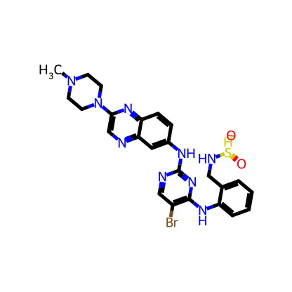 CN1CCN(c2cnc3cc(Nc4ncc(Br)c(Nc5ccccc5CN[SH](=O)=O)n4)ccc3n2)CC1